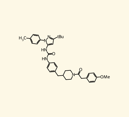 COc1ccc(CC(=O)N2CCC(Cc3ccc(NC(=O)Nc4cc(C(C)(C)C)nn4-c4ccc(C)cc4)cc3)CC2)cc1